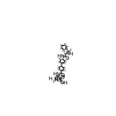 C[C@@H](NCC(=O)Nc1ccc(-c2ccc(C(=O)N[C@@H](CN)C(=O)NO)cc2)cc1)c1ccccc1